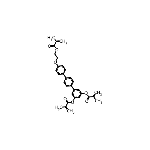 C=C(C)C(=O)OCCOc1ccc(-c2ccc(-c3cc(OC(=O)C(=C)C)cc(OC(=O)C(=C)C)c3)cc2)cc1